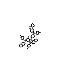 Cc1ccc(N(c2cc3c4c(c2)N(c2ccc(C)cc2)c2ccc5ccccc5c2B4c2ccc(N(c4ccc(C)cc4)c4ccc5oc6ccccc6c5c4)cc2O3)c2ccc3ccccc3c2)cc1